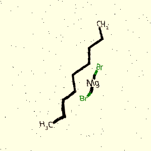 [Br][Mg][Br].[CH2]CCCCCCCC